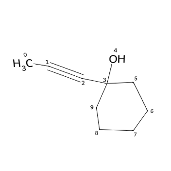 CC#CC1(O)CCCCC1